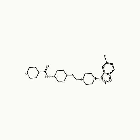 O=C(N[C@H]1CC[C@H](CCN2CCN(c3noc4ccc(F)cc34)CC2)CC1)C1CCOCC1